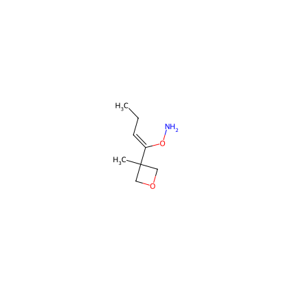 CC/C=C(\ON)C1(C)COC1